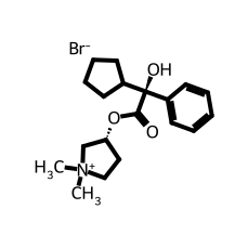 C[N+]1(C)CC[C@@H](OC(=O)[C@@](O)(c2ccccc2)C2CCCC2)C1.[Br-]